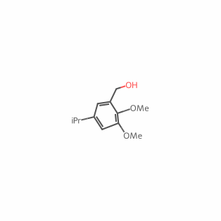 COc1cc(C(C)C)cc(CO)c1OC